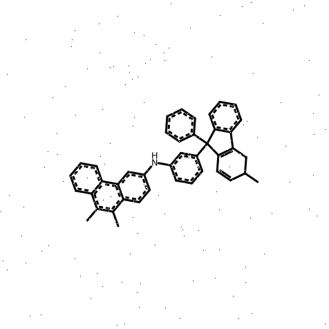 Cc1c(C)c2ccc(Nc3cccc(C4(c5ccccc5)C5=C(CC(C)C=C5)c5ccccc54)c3)cc2c2ccccc12